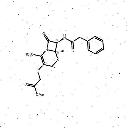 COC(=O)CSC1=C(C(=O)O)N2C(=O)[C@@H](NC(=O)Cc3ccccc3)[C@H]2SC1